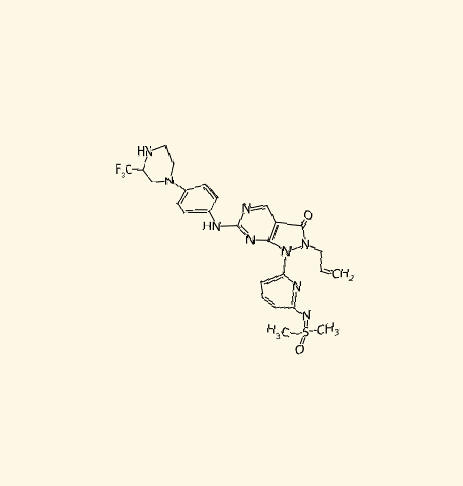 C=CCn1c(=O)c2cnc(Nc3ccc(N4CCNC(C(F)(F)F)C4)cc3)nc2n1-c1cccc(N=S(C)(C)=O)n1